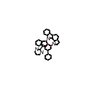 c1ccc(-c2cc(-c3ccccc3)cc(-n3ccc4ccc5c6ccccc6n(-c6ccc(-c7ncccn7)cc6)c5c43)c2)cc1